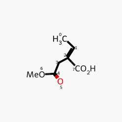 C/C=C(\CC(=O)OC)C(=O)O